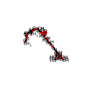 CCOC(=O)CCC(=O)c1cc2c(F)c(OCCCOc3c(OC)cc4c(c3F)CN(C(=O)CCC(=O)O[C@@H](C)CNC(=O)CC[C@H](NC(=O)CN3C(=O)C=CC3=O)C(=O)NCC(=O)NCC(=O)NCC(=O)NCC(=O)NCCOCCOCCOCCOCCC(=O)N[C@@H](CCC(=O)NC[C@H](O)[C@@H](O)[C@H](O)[C@H](O)CO)C(=O)NC[C@H](O)[C@@H](O)[C@H](O)[C@H](O)CO)C4)c(OC)cc2s1